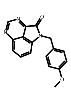 COc1ccc(CN2C(=O)c3ncnc4cccc2c34)cc1